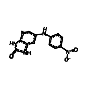 O=c1[nH]c2cc(Nc3ccc([N+](=O)[O-])cc3)cnc2[nH]1